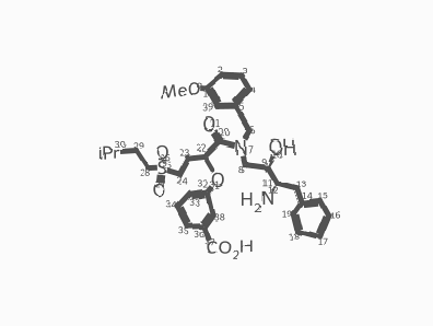 COc1cccc(CN(C[C@@H](O)[C@@H](N)Cc2ccccc2)C(=O)C(CCS(=O)(=O)CCC(C)C)Oc2cccc(C(=O)O)c2)c1